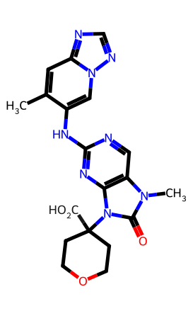 Cc1cc2ncnn2cc1Nc1ncc2c(n1)n(C1(C(=O)O)CCOCC1)c(=O)n2C